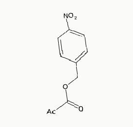 [CH2]C(=O)C(=O)OCc1ccc([N+](=O)[O-])cc1